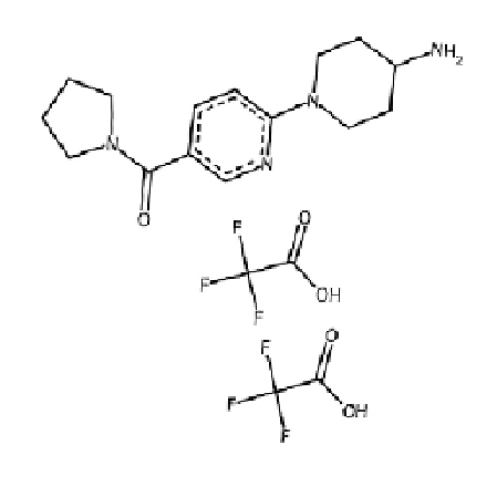 NC1CCN(c2ccc(C(=O)N3CCCC3)cn2)CC1.O=C(O)C(F)(F)F.O=C(O)C(F)(F)F